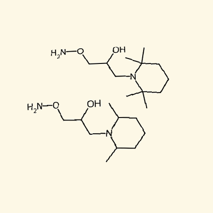 CC1(C)CCCC(C)(C)N1CC(O)CON.CC1CCCC(C)N1CC(O)CON